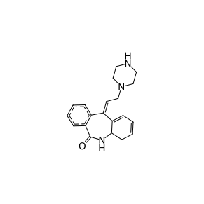 O=C1NC2CC=CC=C2C(=CCN2CCNCC2)c2ccccc21